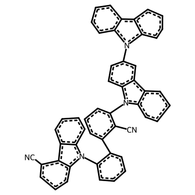 N#Cc1c(-c2ccccc2-n2c3ccccc3c3c(C#N)cccc32)cccc1-n1c2ccccc2c2cc(-n3c4ccccc4c4ccccc43)ccc21